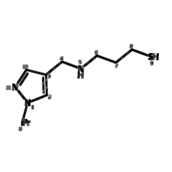 CC(C)n1cc(CNCCCS)cn1